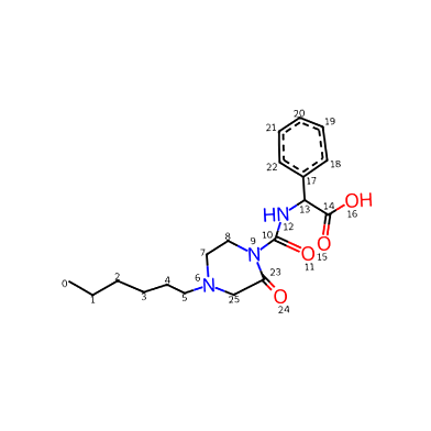 CCCCCCN1CCN(C(=O)NC(C(=O)O)c2ccccc2)C(=O)C1